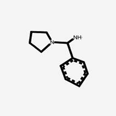 [NH]C(c1ccccc1)N1CCCC1